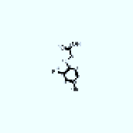 O=C(O)COc1[c]cc(Br)cc1Br